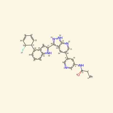 CC(C)CC(=O)Nc1cncc(-c2cnc3[nH]nc(-c4cc5c(C6C=CC=CC6F)cccc5[nH]4)c3c2)c1